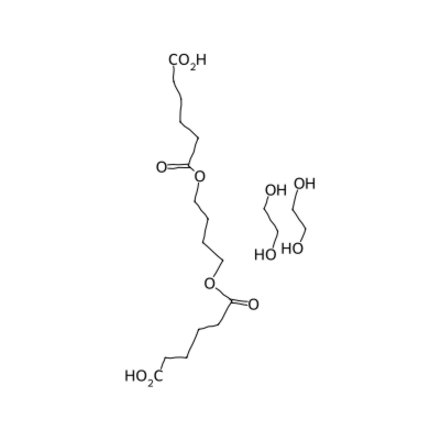 O=C(O)CCCCC(=O)OCCCCOC(=O)CCCCC(=O)O.OCCO.OCCO